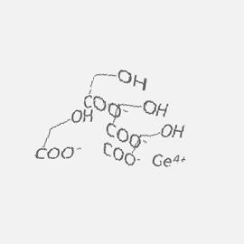 O=C([O-])CO.O=C([O-])CO.O=C([O-])CO.O=C([O-])CO.[Ge+4]